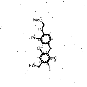 COCOc1ccc(Cc2c(Cl)cc(CO)c(F)c2Cl)cc1C(C)C